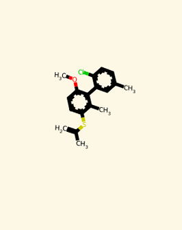 C=C(C)Sc1ccc(OC)c(-c2cc(C)ccc2Cl)c1C